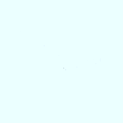 C/C=C\C=C(/CC)C(=O)N[C@H](C(=O)O)c1ccccc1